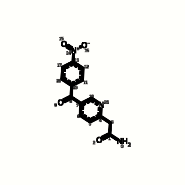 NC(=O)Cc1ccc(C(=O)c2ccc([N+](=O)[O-])cc2)cn1